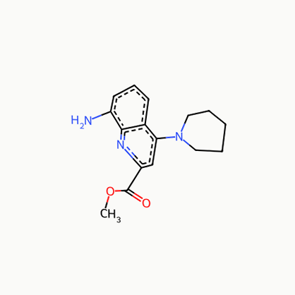 COC(=O)c1cc(N2CCCCC2)c2cccc(N)c2n1